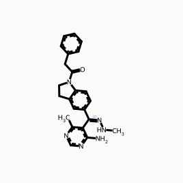 CN/N=C(/c1ccc2c(c1)CCN2C(=O)Cc1ccccc1)c1c(C)ncnc1N